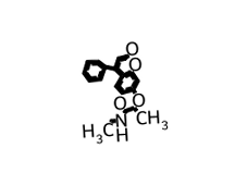 CCNC(=O)C(C)Oc1ccc2c(-c3ccccc3)cc(=O)oc2c1